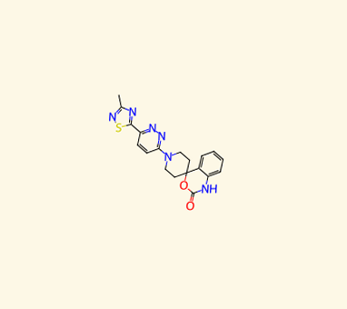 Cc1nsc(-c2ccc(N3CCC4(CC3)OC(=O)Nc3ccccc34)nn2)n1